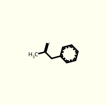 [C]=C(C)Cc1ccccc1